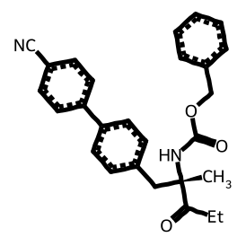 CCC(=O)[C@](C)(Cc1ccc(-c2ccc(C#N)cc2)cc1)NC(=O)OCc1ccccc1